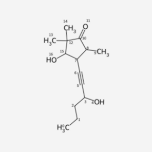 CCCC(O)C#CC1C(C)C(=O)C(C)(C)C1O